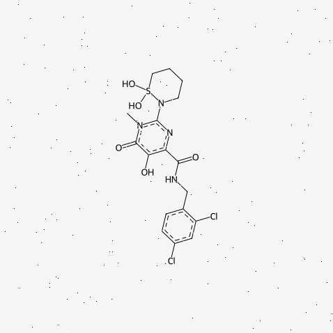 Cn1c(N2CCCCS2(O)O)nc(C(=O)NCc2ccc(Cl)cc2Cl)c(O)c1=O